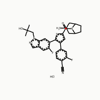 CC(C)(O)Cn1ncc2cc(F)c(-c3sc(C(=O)N4C5CCC4CC(N)C5)cc3-c3ccc(C#N)c(F)c3)cc21.Cl